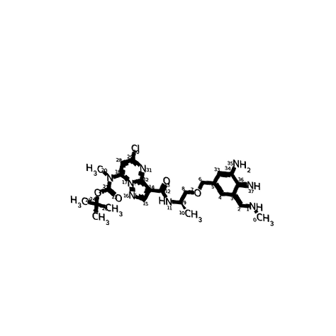 CN/C=C1/C=C(COC[C@@H](C)NC(=O)c2cnn3c(N(C)C(=O)OC(C)(C)C)cc(Cl)nc23)C=C(N)C1=N